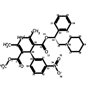 COC(=O)C1=C(C)NC(C)=C(C(=O)O[C@@H](CN2CCCCC2)c2ccccc2)[C@H]1c1cccc([N+](=O)[O-])c1